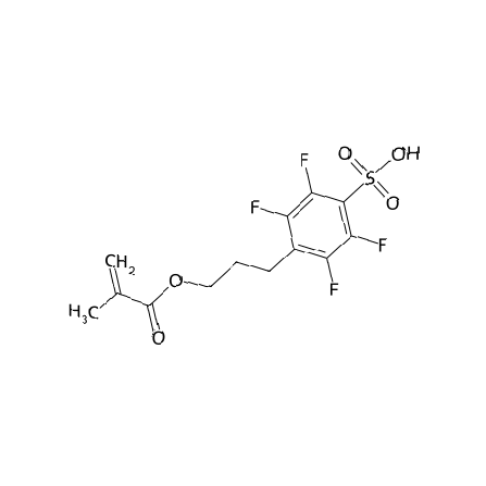 C=C(C)C(=O)OCCCc1c(F)c(F)c(S(=O)(=O)O)c(F)c1F